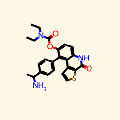 CCN(CC)C(=O)Oc1ccc2[nH]c(=O)c3sccc3c2c1-c1ccc(C(C)N)cc1